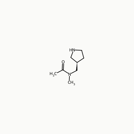 CC(=O)N(C)C[C@@H]1CCNC1